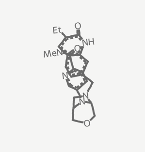 CCc1cc2ccc(CN3CC4COCC3N4c3ccc(C(=O)NC)nc3)cc2[nH]c1=O